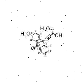 C=CC(=O)O.Cc1ccc2c(c1)C(=O)c1ccccc1C2=O